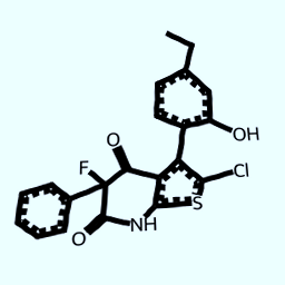 CCc1ccc(-c2c(Cl)sc3c2C(=O)C(F)(c2ccccc2)C(=O)N3)c(O)c1